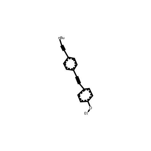 CCCCC#Cc1ccc(C#Cc2ccc(OCC)cc2)cc1